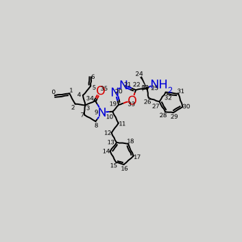 C=CCC1(CC=C)CCN(C(CCc2ccccc2)c2nnc([C@](C)(N)Cc3ccccc3)o2)C1=O